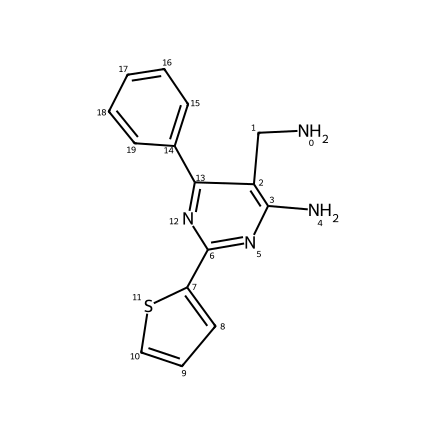 NCc1c(N)nc(-c2cccs2)nc1-c1ccccc1